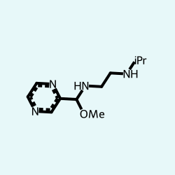 COC(NCCNC(C)C)c1cnccn1